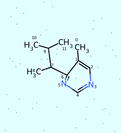 Cc1cncnc1C(C)C(C)C